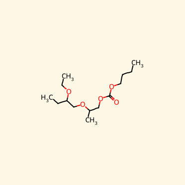 CCCCOC(=O)OCC(C)OCC(CC)OCC